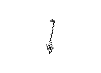 CCCCC=CCCCCCCCCCCOC(=O)C(F)(F)C(F)(F)CF